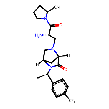 C[C@H](c1ccc(C(F)(F)F)cc1)N1C(=O)[C@@H]2C[C@H]1CN2C[C@H](N)C(=O)N1CCC[C@H]1C#N